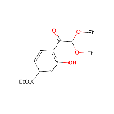 CCOC(=O)c1ccc(C(=O)C(OCC)OCC)c(O)c1